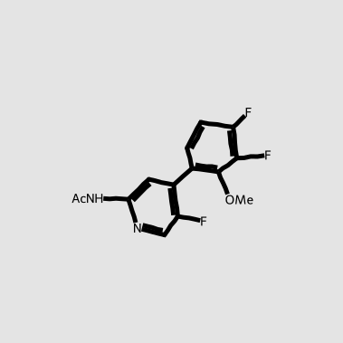 COc1c(-c2cc(NC(C)=O)ncc2F)ccc(F)c1F